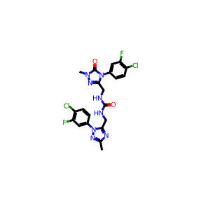 Cc1nc(CNC(=O)NCc2nn(C)c(=O)n2-c2ccc(Cl)c(F)c2)n(-c2ccc(Cl)c(F)c2)n1